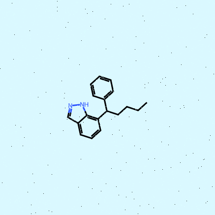 CCCCC(c1ccccc1)c1cccc2cn[nH]c12